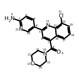 Nc1ccc(-c2cc(C(=O)N3CCOCC3)c3cccc(Cl)c3n2)cn1